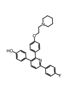 Oc1ccc(-c2ccc(-c3ccc(F)cc3)nc2-c2ccc(OCCN3CCCCC3)cc2)cc1